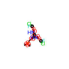 CC(C)(C)OP(=O)(OCCCOC(=O)O[C@H]1CC2(NC(=O)COc3ccc(Cl)c(F)c3)CCC1(NC(=O)COc1ccc(Cl)c(F)c1)CC2)OC(C)(C)C